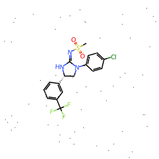 CS(=O)(=O)N=C1N[C@@H](c2cccc(C(F)(F)F)c2)CN1c1ccc(Cl)cc1